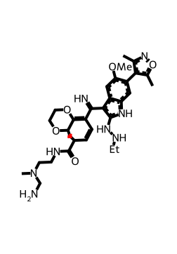 CCNNc1[nH]c2cc(-c3c(C)noc3C)c(OC)cc2c1C(=N)C(/C=C\C(C)C(=O)NCCN(C)CN)=C1\OCCOC1C